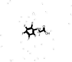 C[C@H](Nc1c(F)c(F)c(F)c(F)c1F)C(=O)O